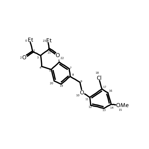 CCC(=O)C(Cc1ccc(COc2ccc(OC)cc2Cl)cc1)C(=O)CC